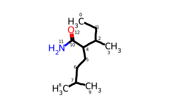 C[CH]C(C)C(CCC(C)C)C(N)=O